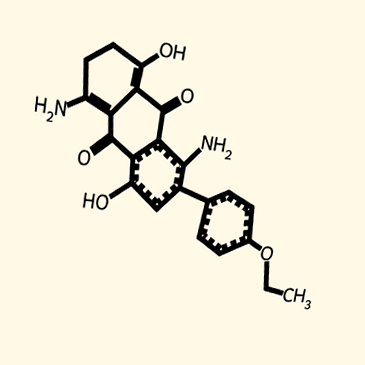 CCOc1ccc(-c2cc(O)c3c(c2N)C(=O)C2=C(O)CCC(N)=C2C3=O)cc1